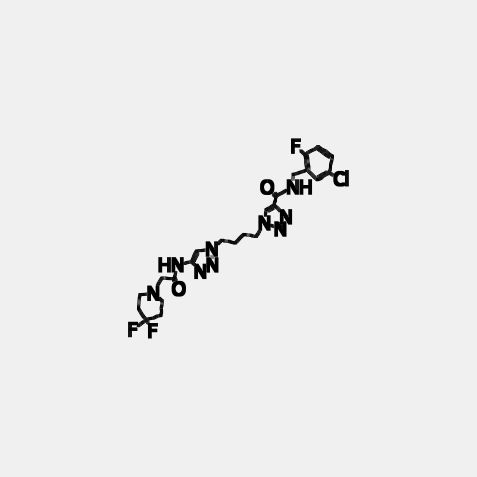 O=C(CN1CCC(F)(F)CC1)Nc1cn(CCCCn2cc(C(=O)NCc3cc(Cl)ccc3F)nn2)nn1